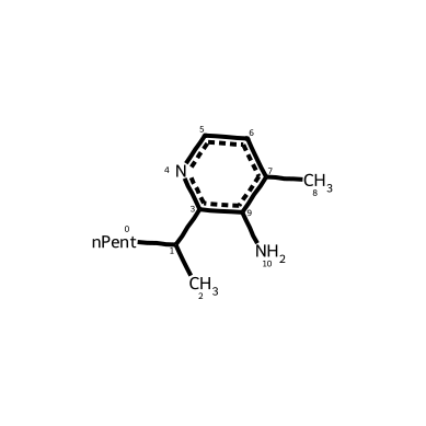 CCCCCC(C)c1nccc(C)c1N